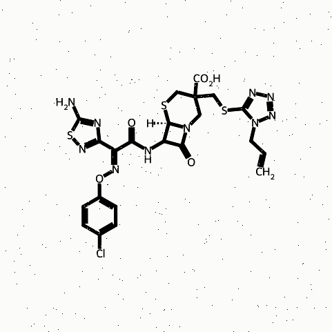 C=CCn1nnnc1SCC1(C(=O)O)CS[C@@H]2C(NC(=O)C(=NOc3ccc(Cl)cc3)c3nsc(N)n3)C(=O)N2C1